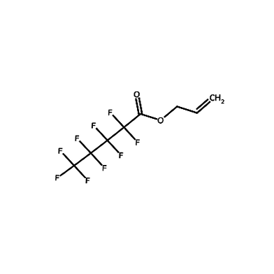 C=CCOC(=O)C(F)(F)C(F)(F)C(F)(F)C(F)(F)F